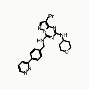 CC(C)c1cnn2c(NCc3ccc(-c4cccnn4)cc3)nc(NC3CCOCC3)nc12